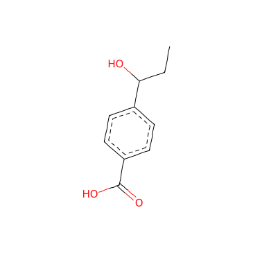 CCC(O)c1ccc(C(=O)O)cc1